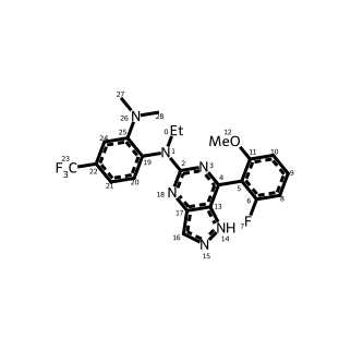 CCN(c1nc(-c2c(F)cccc2OC)c2[nH]ncc2n1)c1ccc(C(F)(F)F)cc1N(C)C